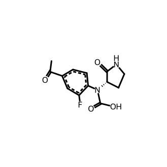 CC(=O)c1ccc(N(C(=O)O)[C@H]2CCNC2=O)c(F)c1